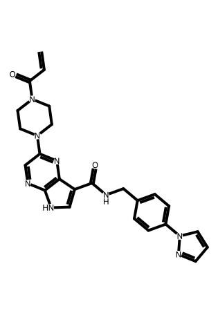 C=CC(=O)N1CCN(c2cnc3[nH]cc(C(=O)NCc4ccc(-n5cccn5)cc4)c3n2)CC1